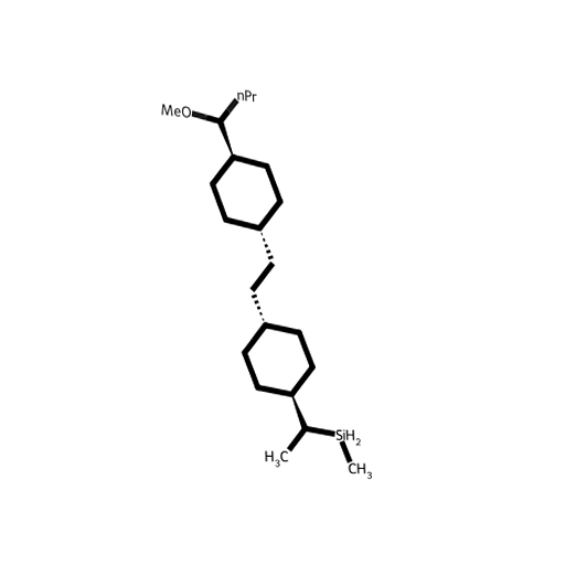 CCCC(OC)[C@H]1CC[C@H](CC[C@H]2CC[C@H](C(C)[SiH2]C)CC2)CC1